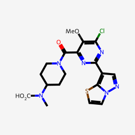 COc1c(Cl)nc(-c2cnn3ccsc23)nc1C(=O)N1CCC(N(C)C(=O)O)CC1